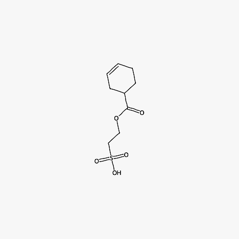 O=C(OCCS(=O)(=O)O)C1CC=CCC1